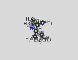 Cc1ccc(-c2ccc(-n3c(-c4ccc5c(c4)c4cc(C)c(C)cc4n5-c4cccc(C(C)(C)C)c4)nnc3C(C)(C)CC(C)(C)C)c(C)c2)cc1